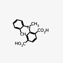 Cc1ccccc1N(C)c1cc(C(=O)O)ccc1C(=O)O